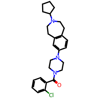 O=C(c1ccccc1Cl)N1CCN(c2ccc3c(c2)CCN(C2CCCC2)CC3)CC1